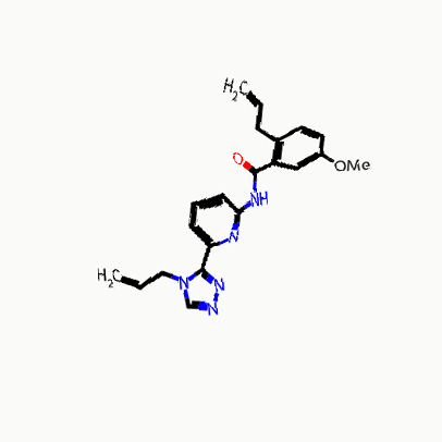 C=CCc1ccc(OC)cc1C(=O)Nc1cccc(-c2nncn2CC=C)n1